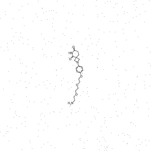 NCCOCCOCCOc1ccc(N2CC3(CCC(=O)NC3=O)C2)cc1